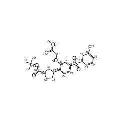 COC(=O)COc1cc(S(=O)(=O)C2C=CC=C(F)C2)ccc1C1CCN(C(=O)OC(C)(C)C)C1